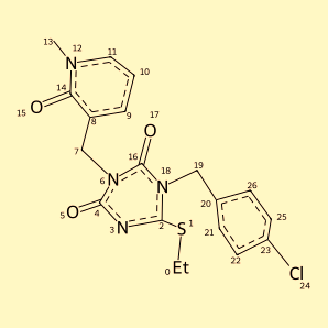 CCSc1nc(=O)n(Cc2cccn(C)c2=O)c(=O)n1Cc1ccc(Cl)cc1